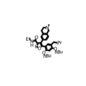 CCCCOc1cc(OCCCC)c(-c2onc(C(=O)NCC)c2-c2ccc3c(c2)CCN(C)C3)cc1CC(C)C